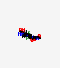 CC(=O)NC[C@H]1CN(c2cc(F)c(N3C[C@@H]4C(NC(=O)CO)[C@@H]4C3)c(F)c2)C(=O)O1